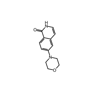 O=c1[nH]ccc2cc(N3CCOCC3)ccc12